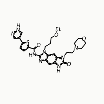 CCOCCCn1c(NC(=O)c2ccc(-c3cn[nH]c3)s2)nc2cc3[nH]c(=O)n(CCN4CCOCC4)c3cc21